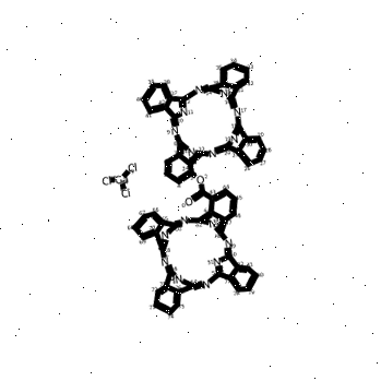 O=C(Oc1cccc2c3nc4nc(nc5[nH]c(nc6nc(nc([nH]3)c12)-c1ccccc1-6)c1ccccc51)-c1ccccc1-4)c1cccc2c3nc4nc(nc5[nH]c(nc6nc(nc([nH]3)c12)-c1ccccc1-6)c1ccccc51)-c1ccccc1-4.[Cl][Ga]([Cl])[Cl]